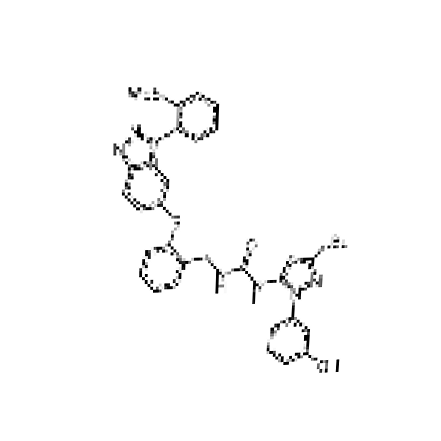 CSc1ccccc1-c1nnc2ccc(Sc3ccccc3CNC(=O)Nc3cc(C(C)(C)C)nn3-c3cccc(O)c3)cn12